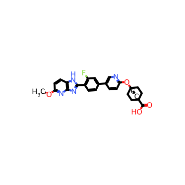 COc1ccc2[nH]c(-c3ccc(-c4ccc(OC56CCC(C(=O)O)(CC5)CC6)nc4)cc3F)nc2n1